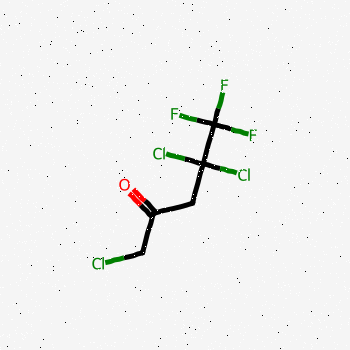 O=C(CCl)CC(Cl)(Cl)C(F)(F)F